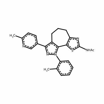 CC(=O)Nc1nc2c(s1)-c1c(c(-c3ccc(C)nc3)nn1-c1ccccc1C)CCC2